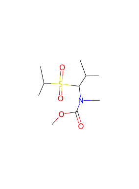 COC(=O)N(C)C(C(C)C)S(=O)(=O)C(C)C